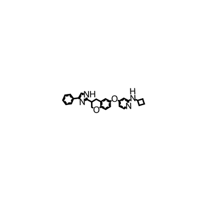 c1ccc(-c2c[nH]c(C3COc4ccc(Oc5ccnc(NC6CCC6)c5)cc4C3)n2)cc1